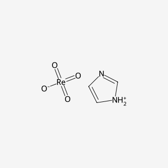 C1=C[NH2+]C=N1.[O]=[Re](=[O])(=[O])[O-]